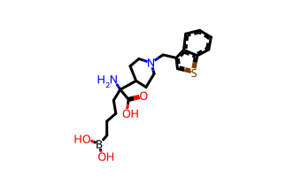 NC(CCCCB(O)O)(C(=O)O)C1CCN(Cc2csc3ccccc23)CC1